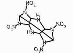 O=[N+]([O-])N1C2NC3C4NC2N([N+](=O)[O-])C1C(N3[N+](=O)[O-])N4[N+](=O)[O-]